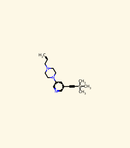 C=CCN1CCN(c2cncc(C#C[Si](C)(C)C)c2)CC1